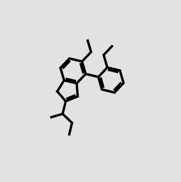 CCc1ccccc1-c1c(CC)ccc2c1C=C(C(C)CC)[CH]2